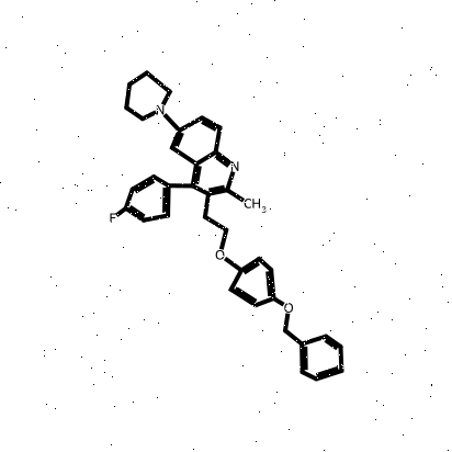 Cc1nc2ccc(N3CCCCC3)cc2c(-c2ccc(F)cc2)c1CCOc1ccc(OCc2ccccc2)cc1